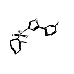 Cc1ccccc1S(=O)(=O)Nc1csc(-c2cccc(F)c2)c1